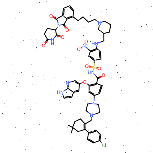 CC1(C)CCC(CN2CCN(c3ccc(C(=O)NS(=O)(=O)c4ccc(NCC5CCCN(CCCCc6cccc7c6C(=O)N(C6CCC(=O)NC6=O)C7=O)C5)c([N+](=O)[O-])c4)c(Oc4cnc5[nH]ccc5c4)c3)CC2)=C(c2ccc(Cl)cc2)C1